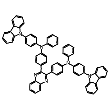 c1ccc(N(c2ccc(-c3nc4ccccc4nc3-c3ccc(N(c4ccccc4)c4ccc(-n5c6ccccc6c6ccccc65)cc4)cc3)cc2)c2ccc(-n3c4ccccc4c4ccccc43)cc2)cc1